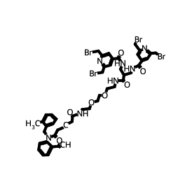 C#Cc1ccccc1N(Cc1ccccc1C)C(=O)CCCCC(=O)NCCOCCOCCNC(=O)C(CNC(=O)c1cc(CBr)nc(CBr)c1)CNC(=O)c1cc(CBr)nc(CBr)c1